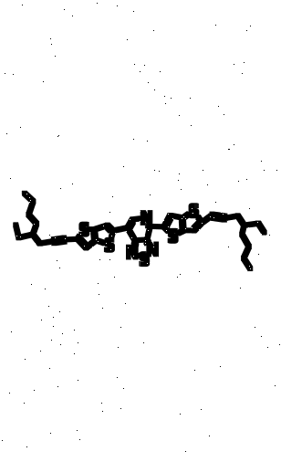 CCCCC(CC)CC#Cc1cc2sc(-c3cnc(-c4cc5sc(C#CCC(CC)CCCC)cc5s4)c4nsnc34)cc2s1